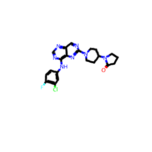 O=C1CCCN1C1CCN(c2ncc3ncnc(Nc4ccc(F)c(Cl)c4)c3n2)CC1